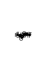 O=C1CC[C@@H](NS(=O)(=O)c2ccc(OC(F)(F)F)cc2)c2ccc(OC(F)F)cc21